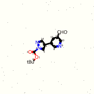 CC(C)(C)OC(=O)n1cc(-c2cncc(C=O)c2)cn1